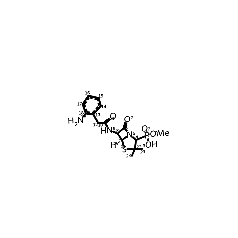 COP(=O)(O)C1N2C(=O)C(NC(=O)Cc3ccccc3N)[C@@H]2SC1(C)C